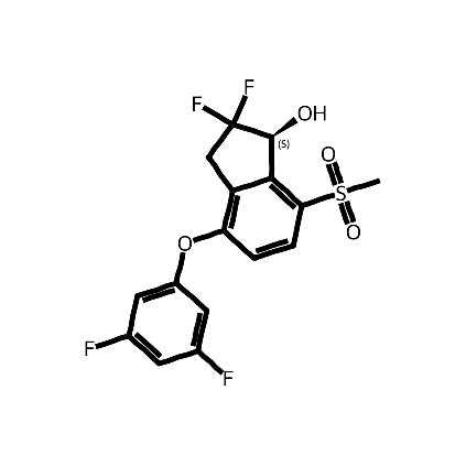 CS(=O)(=O)c1ccc(Oc2cc(F)cc(F)c2)c2c1[C@H](O)C(F)(F)C2